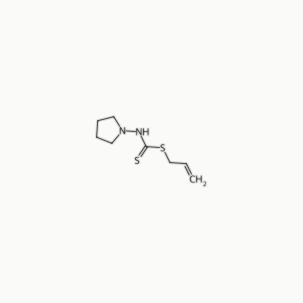 C=CCSC(=S)NN1CCCC1